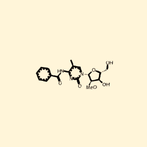 CO[C@@H]1[C@H](O)[C@@H](CO)O[C@H]1n1cc(C)c(NC(=O)c2ccccc2)nc1=O